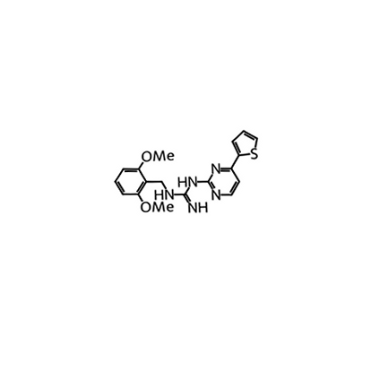 COc1cccc(OC)c1CNC(=N)Nc1nccc(-c2cccs2)n1